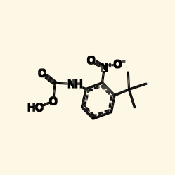 CC(C)(C)c1cccc(NC(=O)OO)c1[N+](=O)[O-]